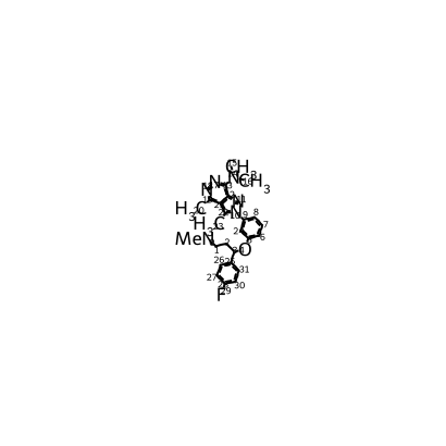 CNCCC(Oc1cccc(-n2nc3c(N(C)C)nnc(C)c3c2C)c1)c1ccc(F)cc1